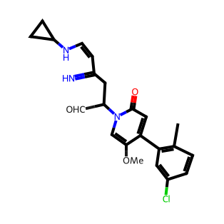 COc1cn(C(C=O)CC(=N)/C=C\NC2CC2)c(=O)cc1-c1cc(Cl)ccc1C